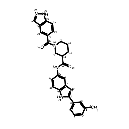 Cc1cccc(-c2nc3cc(NC(=O)[C@@H]4CCCN(C(=O)c5ccc6[nH]ncc6c5)C4)ccc3[nH]2)c1